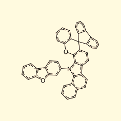 c1ccc2c(c1)Oc1c(ccc3c4ccc5ccccc5c4n(-c4ccc5c(c4)oc4ccccc45)c13)C21c2ccccc2-c2ccccc21